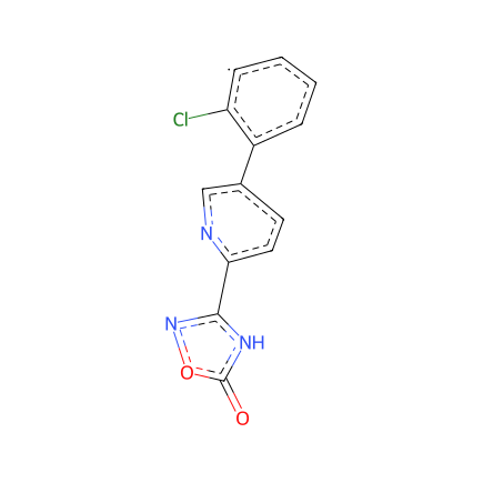 O=c1[nH]c(-c2ccc(-c3ccc[c]c3Cl)cn2)no1